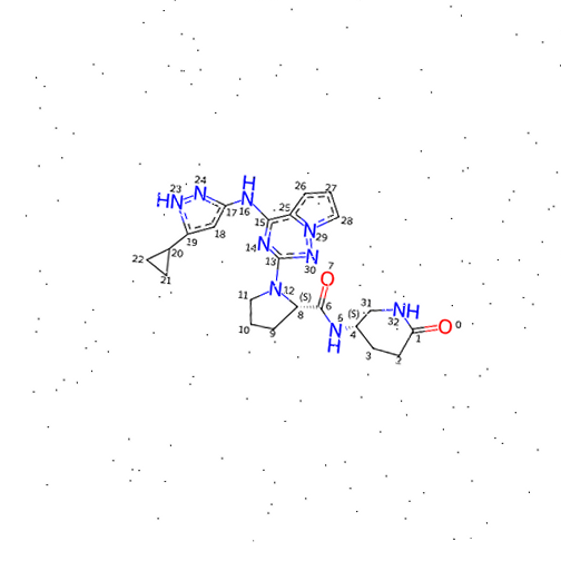 O=C1CC[C@H](NC(=O)[C@@H]2CCCN2c2nc(Nc3cc(C4CC4)[nH]n3)c3cccn3n2)CN1